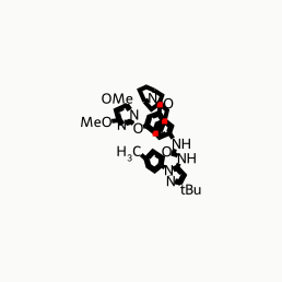 COc1cc(OC)nc(Oc2cccc(C(=O)N3C4CCC3CC(Cc3cccc(NC(=O)Nc5cc(C(C)(C)C)nn5-c5ccc(C)cc5)c3)C4)c2)n1